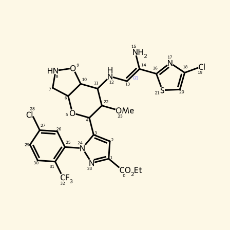 CCOC(=O)c1cc(C2OC3CNOC3C(N/C=C(\N)c3nc(Cl)cs3)C2OC)n(-c2cc(Cl)ccc2C(F)(F)F)n1